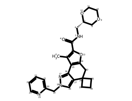 Cc1c(C(=O)NC[C@H]2COCCO2)oc2c1-c1nn(Cc3ccccn3)cc1C1(CCC1)C2